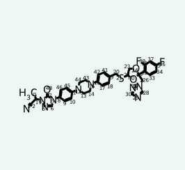 CC(C#N)n1ncn(-c2ccc(N3CCN(c4ccc(CSC5COC(Cn6cncn6)(c6ccc(F)cc6F)O5)cc4)CC3)cc2)c1=O